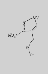 CC(C)NCc1c[nH]nc1C(=O)O